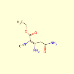 [C-]#[N+]/C(C(=O)OCC)=C(\N)CC(N)=O